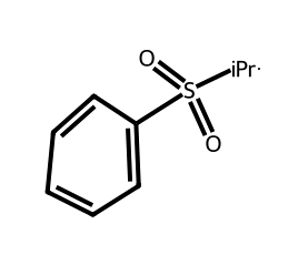 C[C](C)S(=O)(=O)c1ccccc1